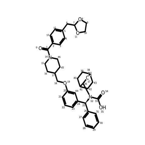 O=C(c1ccc(CC2OCCO2)cc1)N1CCC(COc2cccc([C@H](c3ccccc3)N(C(=O)O)C3CN4CCC3CC4)c2)CC1